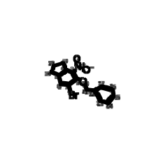 O=[N+]([O-])c1c2c(cc(Br)c1OCc1ccccc1)CCC2